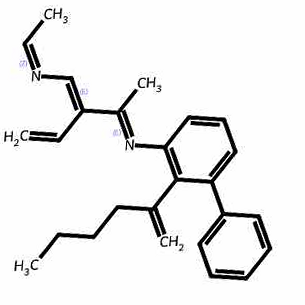 C=CC(=C\N=C/C)/C(C)=N/c1cccc(-c2ccccc2)c1C(=C)CCCC